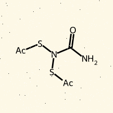 CC(=O)SN(SC(C)=O)C(N)=O